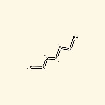 B=S=S=S=S=S=S